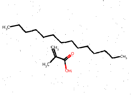 C=C(C)C(=O)O.CCCCCCCCCCCCCC